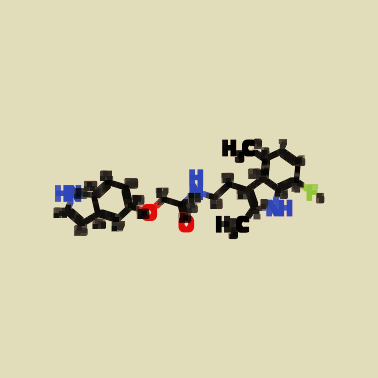 Cc1[nH]c2c(F)ccc(C)c2c1CCNC(=O)COc1ccc2[nH]ccc2c1